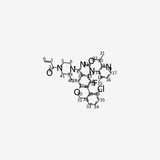 C=CC(=O)N1CCN(c2nc(=O)n(-c3c(C)ccnc3C(C)C)c3c(F)c4c(cc23)OCc2cccc(Cl)c2-4)[C@@H](C)C1